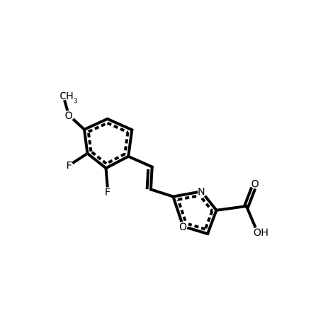 COc1ccc(C=Cc2nc(C(=O)O)co2)c(F)c1F